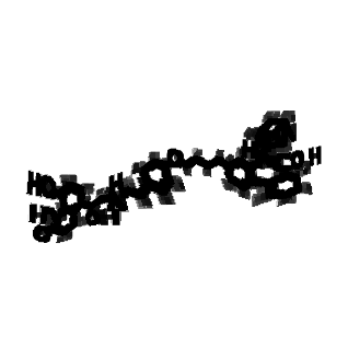 O=C(O)N(c1cc(CCCCOc2ccc(CCNC[C@H](O)c3ccc(O)c4[nH]c(=O)ccc34)cc2)ccc1-c1ccccc1)[C@H]1CN2CCC1CC2